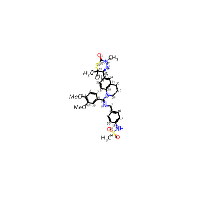 COc1ccc(/C(=N/Cc2ccc(NS(C)(=O)=O)cc2)N2CCCc3cc(C4=NN(C)C(=O)SC4(C)C)ccc32)cc1OC